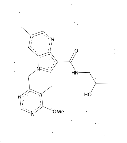 COc1ncnc(Cn2cc(C(=O)NCC(C)O)c3ncc(C)cc32)c1C